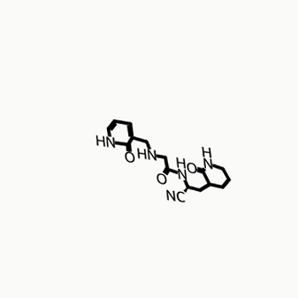 N#C[C@H](CC1CCCNC1=O)NC(=O)CNCc1ccc[nH]c1=O